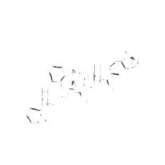 Cc1cccc(C)c1S(=O)(=O)NC(CNC(=O)c1ccc2[nH]ncc2c1)C(=O)OCCCNc1ccccn1